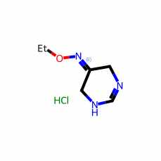 CCO/N=C1/CN=CNC1.Cl